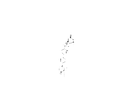 Cc1c(F)cc(OC(F)(F)c2c(F)cc(-c3ccc(C4CCC(S)CO4)cc3)cc2F)c(C)c1F